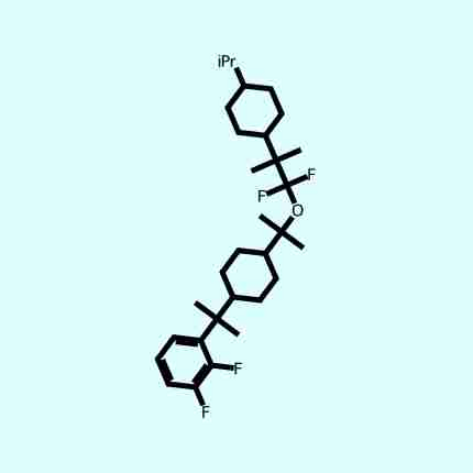 CC(C)C1CCC(C(C)(C)C(F)(F)OC(C)(C)C2CCC(C(C)(C)c3cccc(F)c3F)CC2)CC1